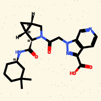 CC1(C)CCC[C@@H](NC(=O)[C@@H]2[C@@H]3C[C@@H]3CN2C(=O)Cn2nc(C(=O)O)c3ccncc32)C1